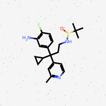 Cc1cc(C(CCN[S+]([O-])C(C)(C)C)(c2ccc(F)c(N)c2)C2CC2)ccn1